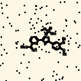 CCOc1ccc(-c2nc(-c3cccc(C(=N)SC)n3)cs2)cc1OCC.COS(=O)(=O)O